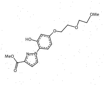 COCCOCCOc1ccc(-n2ccc(C(=O)OC)n2)c(O)c1